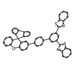 c1ccc2c(c1)Oc1ccc(-c3ccc(-c4cc(-c5nc6ccccc6s5)cc(-c5nc6ccccc6s5)c4)cc3)cc1C21c2ccccc2-c2ccccc21